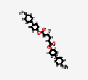 CCCC1CCC(c2ccc(OC(=O)CC[C@@H](C)CC(=O)Oc3ccc(C4CCC(CCC)CC4)cc3)cc2)CC1